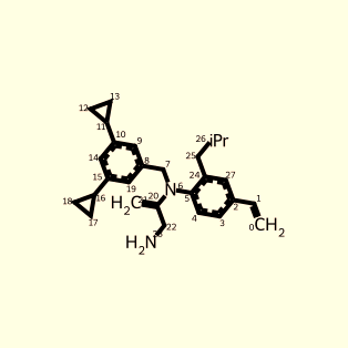 C=Cc1ccc(N(Cc2cc(C3CC3)cc(C3CC3)c2)C(=C)CN)c(CC(C)C)c1